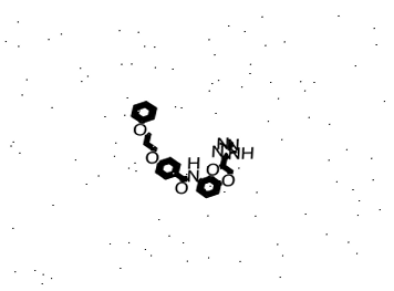 O=C(Nc1cccc2c1OC(c1nnn[nH]1)CO2)c1ccc(OCCCOc2ccccc2)cc1